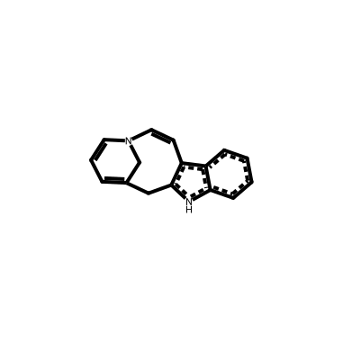 C1=CN2C=Cc3c([nH]c4ccccc34)CC(=C1)C2